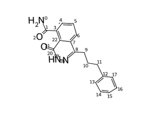 NC(=O)c1[c]ccc2c(CCCc3ccccc3)n[nH]c(=O)c12